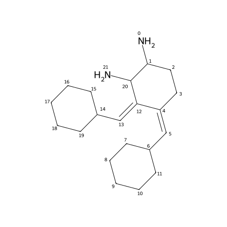 NC1CCC(=C/C2CCCCC2)/C(=C/C2CCCCC2)C1N